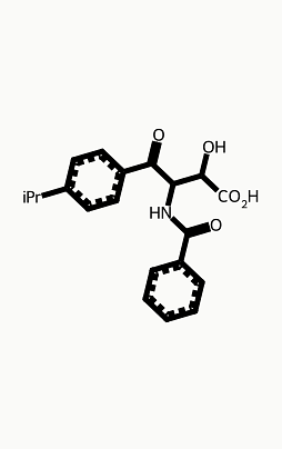 CC(C)c1ccc(C(=O)C(NC(=O)c2ccccc2)C(O)C(=O)O)cc1